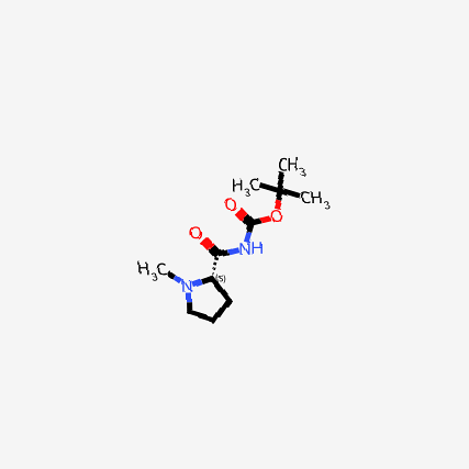 CN1CCC[C@H]1C(=O)NC(=O)OC(C)(C)C